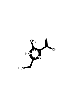 Cc1[nH]c(CN)nc1C(=O)O